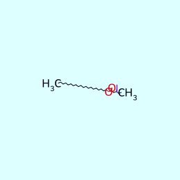 CCCCCCCCCCCCCCCCCCCCOC(=O)CC(I)CC